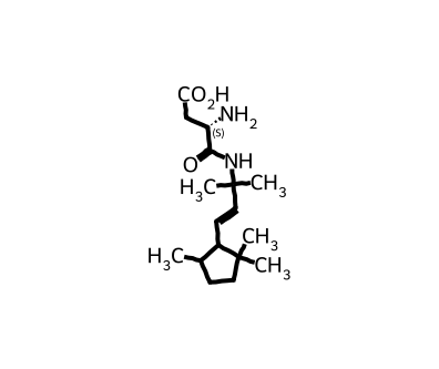 CC1CCC(C)(C)C1C=CC(C)(C)NC(=O)[C@@H](N)CC(=O)O